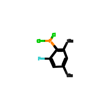 CC(C)(C)c1cc(F)c(P(Cl)Cl)c(C(C)(C)C)c1